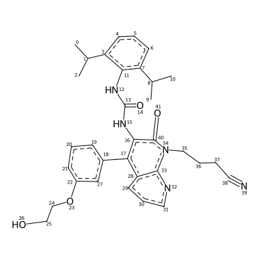 CC(C)c1cccc(C(C)C)c1NC(=O)Nc1c(-c2cccc(OCCO)c2)c2cccnc2n(CCCC#N)c1=O